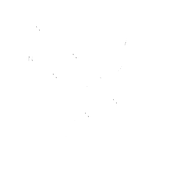 Cc1ccccc1N1c2ccccc2N(c2ccccc2)C1C1(C)C2N(C)c3ncncc3N2c2ccc3cc2C1(C)C3